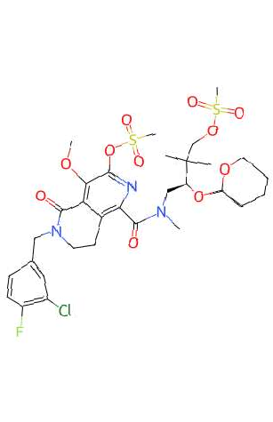 COc1c(OS(C)(=O)=O)nc(C(=O)N(C)C[C@H](OC2CCCCO2)C(C)(C)COS(C)(=O)=O)c2c1C(=O)N(Cc1ccc(F)c(Cl)c1)CC2